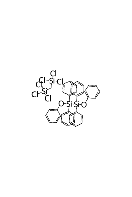 Cl[Si](Cl)(Cl)C[Si](Cl)(Cl)Cl.c1ccc(O[Si](c2ccccc2)(c2ccccc2)[Si](Oc2ccccc2)(c2ccccc2)c2ccccc2)cc1